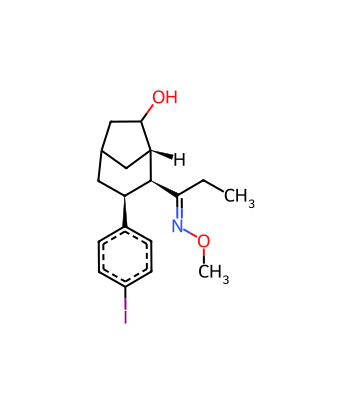 CCC(=NOC)[C@H]1[C@@H](c2ccc(I)cc2)CC2CC(O)[C@H]1C2